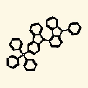 c1ccc(-n2c3ccccc3c3c(-n4c5ccccc5c5cc([Si](c6ccccc6)(c6ccccc6)c6ccccc6)ccc54)cccc32)cc1